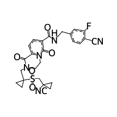 N#Cc1ccc(CNC(=O)c2ccc3n(c2=O)CCN(CC2(S(=O)(=O)CC4(C#N)CC4)CC2)C3=O)cc1F